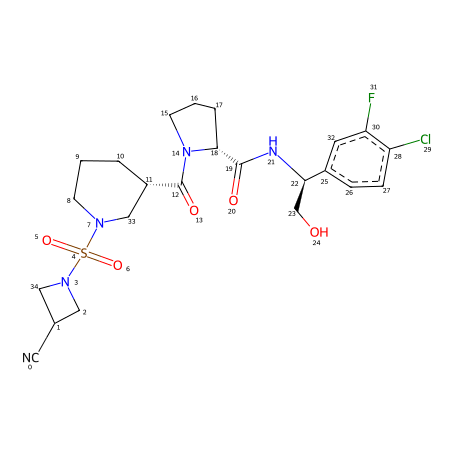 N#CC1CN(S(=O)(=O)N2CCC[C@H](C(=O)N3CCC[C@@H]3C(=O)N[C@H](CO)c3ccc(Cl)c(F)c3)C2)C1